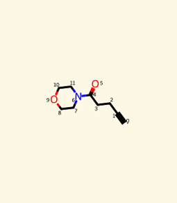 [C]#CCCC(=O)N1CCOCC1